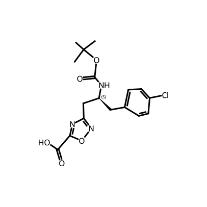 CC(C)(C)OC(=O)N[C@@H](Cc1ccc(Cl)cc1)Cc1noc(C(=O)O)n1